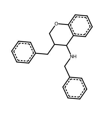 c1ccc(CNC2c3ccccc3OCC2Cc2ccccc2)cc1